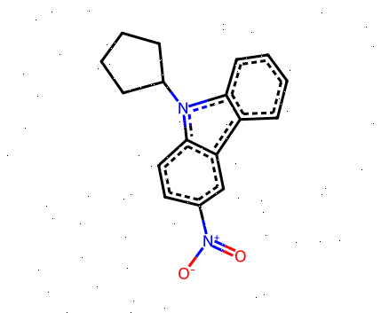 O=[N+]([O-])c1ccc2c(c1)c1ccccc1n2C1CCCC1